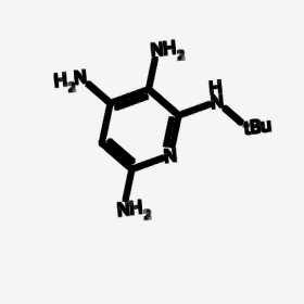 CC(C)(C)Nc1nc(N)cc(N)c1N